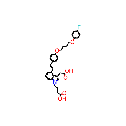 O=C(O)CCCn1cc(CC(=O)O)c2c(C=Cc3ccc(OCCCCOc4ccc(F)cc4)cc3)cccc21